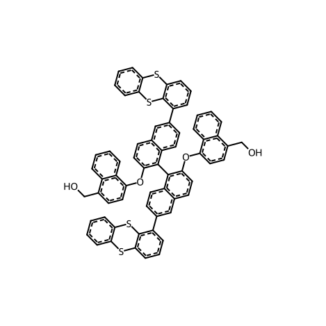 OCc1ccc(Oc2ccc3cc(-c4cccc5c4Sc4ccccc4S5)ccc3c2-c2c(Oc3ccc(CO)c4ccccc34)ccc3cc(-c4cccc5c4Sc4ccccc4S5)ccc23)c2ccccc12